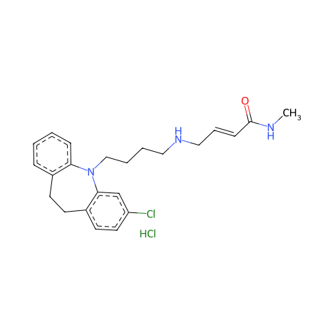 CNC(=O)/C=C/CNCCCCN1c2ccccc2CCc2ccc(Cl)cc21.Cl